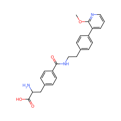 COc1ncccc1-c1ccc(CCNC(=O)c2ccc(CC(N)C(=O)O)cc2)cc1